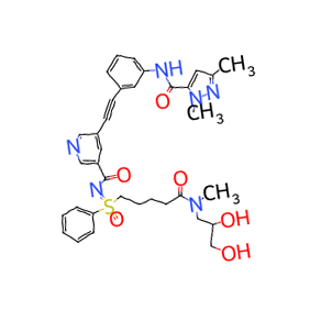 Cc1cc(C(=O)Nc2cccc(C#Cc3cncc(C(=O)N=S(=O)(CCCCC(=O)N(C)CC(O)CO)c4ccccc4)c3)c2)n(C)n1